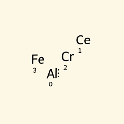 [Al].[Ce].[Cr].[Fe]